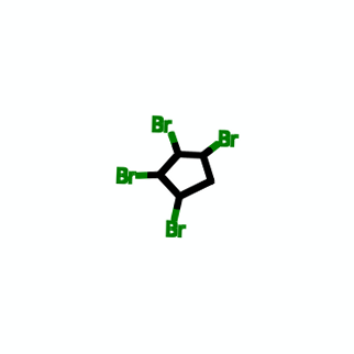 BrC1CC(Br)C(Br)C1Br